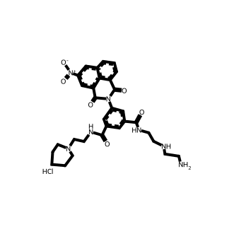 Cl.NCCNCCNC(=O)c1cc(C(=O)NCCN2CCCCC2)cc(N2C(=O)c3cccc4cc([N+](=O)[O-])cc(c34)C2=O)c1